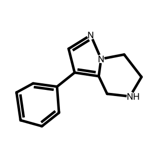 c1ccc(-c2cnn3c2CNCC3)cc1